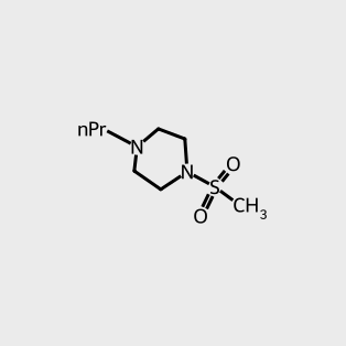 C[CH]CN1CCN(S(C)(=O)=O)CC1